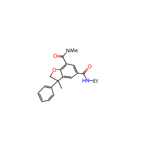 CCNC(=O)c1cc(C(=O)NC)c2c(c1)C(C)(c1ccccc1)CO2